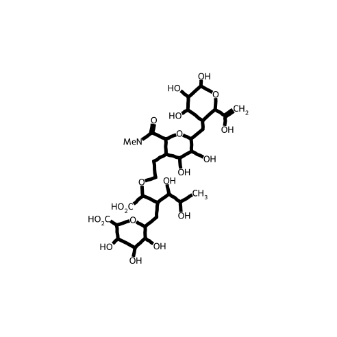 C=C(O)C1OC(O)C(O)C(O)C1CC1OC(C(=O)NC)C(CCOC(C(=O)O)C(CC2OC(C(=O)O)C(O)C(O)C2O)C(O)C(C)O)C(O)C1O